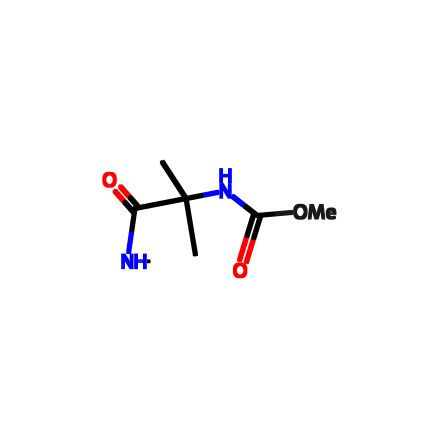 COC(=O)NC(C)(C)C([NH])=O